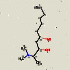 CCCCCCCCCCCCC[C@H](O)C[C@H](O)C(C)N(C)C